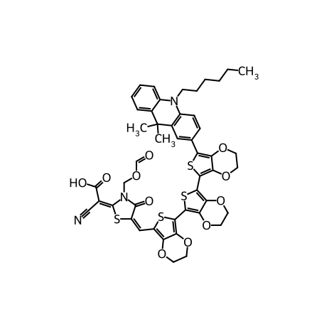 CCCCCCN1c2ccccc2C(C)(C)c2cc(-c3sc(-c4sc(-c5sc(/C=c6/s/c(=C(\C#N)C(=O)O)n(COC=O)c6=O)c6c5OCCO6)c5c4OCCO5)c4c3OCCO4)ccc21